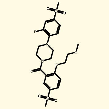 COCCOc1ccc(S(C)(=O)=O)cc1C(=O)N1CCN(c2ccc(S(C)(=O)=O)cc2F)CC1